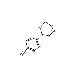 O=[N+]([O-])c1ccc(C2CNCCO2)cc1